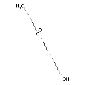 CCCCC=CCCCCCCCC(=O)OCCCCCCCCCCCCCCCCCCCCCCO